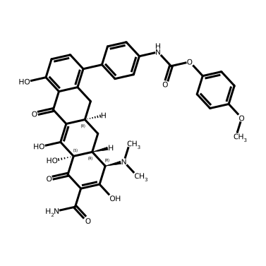 COc1ccc(OC(=O)Nc2ccc(-c3ccc(O)c4c3C[C@H]3C[C@@H]5[C@@H](N(C)C)C(O)=C(C(N)=O)C(=O)[C@@]5(O)C(O)=C3C4=O)cc2)cc1